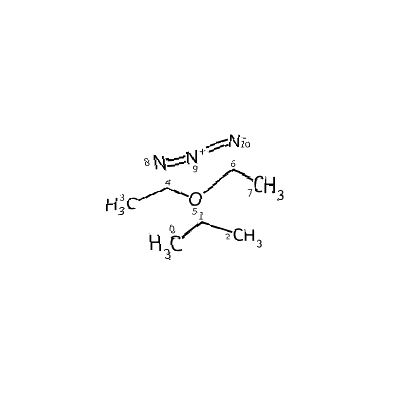 CCC.CCOCC.[N-]=[N+]=[N-]